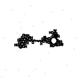 CC[C@H]1OC(=O)[C@H](C)[C@@H](OC2CC(C)(OC)C(OC(=O)NCCCCCC(=O)NCCNC3C(O)=C(C(N)=O)C(=O)[C@@]4(O)C(O)=C5C(=O)c6c(O)cccc6[C@@](C)(O)[C@H]5C[C@@H]34)C(C)O2)[C@H](C)[C@@H](OC2OC(C)CC(N(C)C)C2O)[C@](C)(O)C[C@@H](C)[C@H](NC(=O)OC(C)(C)C)[C@H](C)[C@@H](O)[C@]1(C)O